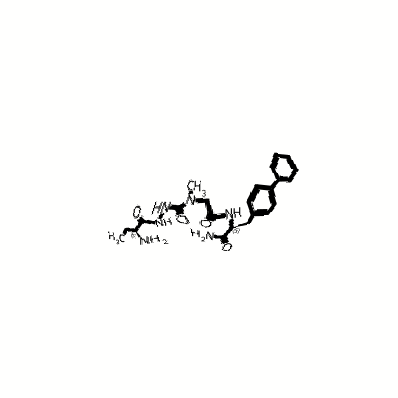 CC[C@H](N)C(=O)NNC(=O)N(C)CC(=O)N[C@@H](Cc1ccc(-c2ccccc2)cc1)C(N)=O